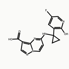 O=C(O)c1cnn2ccc(NC3(c4cc(F)cnc4O)CC3)nc12